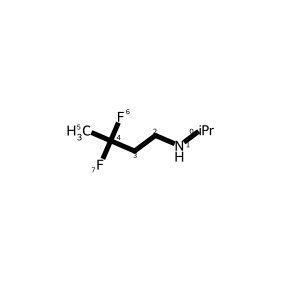 CC(C)NCCC(C)(F)F